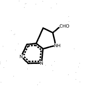 O=CC1Cc2cncnc2N1